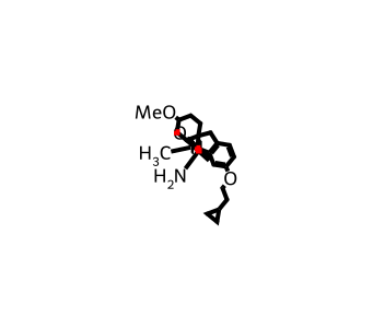 COC1CCC2(CC1)Cc1ccc(OCCC3CC3)cc1C21N=C(N)N(C)C1=O